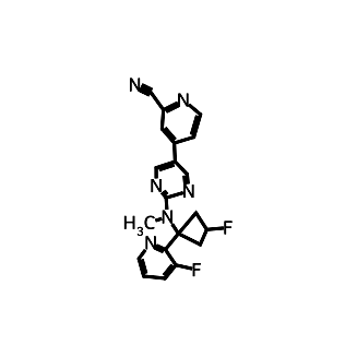 CN(c1ncc(-c2ccnc(C#N)c2)cn1)C1(c2ncccc2F)CC(F)C1